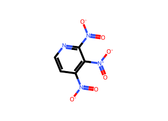 O=[N+]([O-])c1ccnc([N+](=O)[O-])c1[N+](=O)[O-]